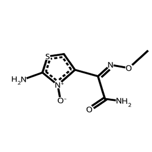 CON=C(C(N)=O)c1csc(N)[n+]1[O-]